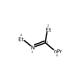 [CH2]CCC(CC)=NCC